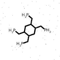 PCC1CC(CP)C(CP)CC1CP